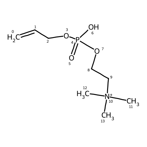 C=CCOP(=O)(O)OCC[N+](C)(C)C